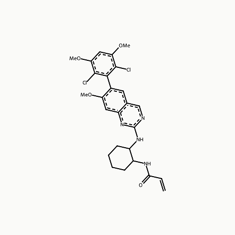 C=CC(=O)NC1CCCCC1Nc1ncc2cc(-c3c(Cl)c(OC)cc(OC)c3Cl)c(OC)cc2n1